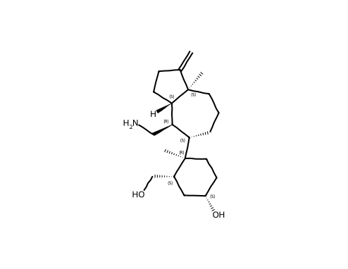 C=C1CC[C@H]2[C@H](CN)[C@@H]([C@@]3(C)CC[C@H](O)C[C@@H]3CO)CCC[C@]12C